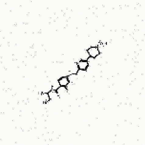 C[C@H](CO)NC(=O)c1ccc(OCc2ccc(C3CCN(C(=O)O)CC3)cn2)cc1F